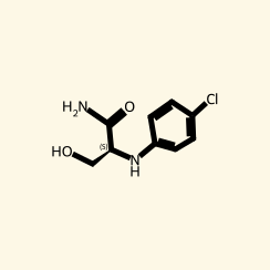 NC(=O)[C@H](CO)Nc1ccc(Cl)cc1